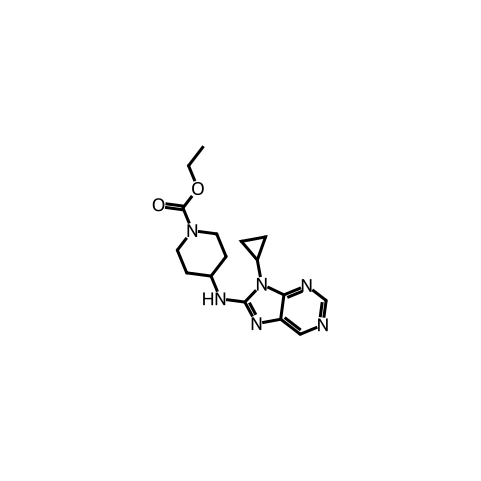 CCOC(=O)N1CCC(Nc2nc3cncnc3n2C2CC2)CC1